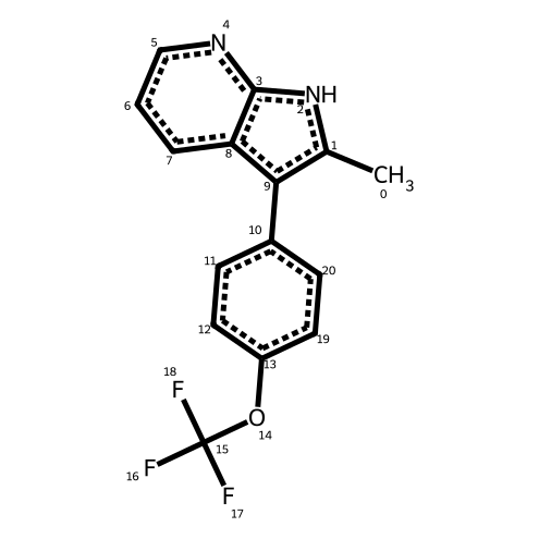 Cc1[nH]c2ncccc2c1-c1ccc(OC(F)(F)F)cc1